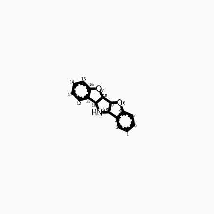 c1ccc2c(c1)OC1C2NC2c3ccccc3OC21